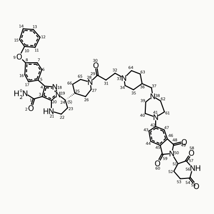 NC(=O)c1c(-c2ccc(Oc3ccccc3)cc2)nn2c1NCC[C@H]2C1CCN(C(=O)CCN2CCC(CN3CCN(c4ccc5c(c4)C(=O)N(C4CCC(=O)NC4=O)C5=O)CC3)CC2)CC1